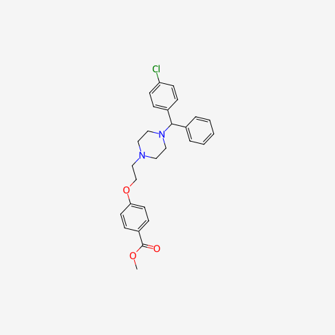 COC(=O)c1ccc(OCCN2CCN(C(c3ccccc3)c3ccc(Cl)cc3)CC2)cc1